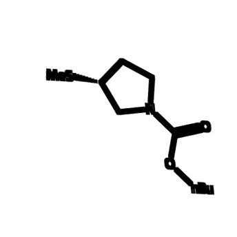 CCCCOC(=O)N1CC[C@@H](SC)C1